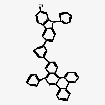 N#Cc1ccc2c3cc(-c4cccc(-c5ccc6c(c5)c(-c5ccccc5)nc5c7ccccc7c7ccccc7c65)c4)ccc3n(-c3ccccc3)c2c1